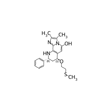 CSCCO[C@H]1C[C@H](c2ccccc2)Nc2c1cc(O)n1c(C)c(C)nc21